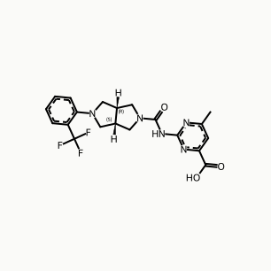 Cc1cc(C(=O)O)nc(NC(=O)N2C[C@@H]3CN(c4ccccc4C(F)(F)F)C[C@@H]3C2)n1